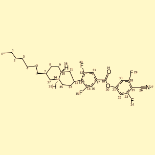 CCCCCCC[C@H]1CC[C@@H]2CC(c3c(F)cc(C(=O)Oc4cc(F)c(C#N)c(F)c4)cc3F)CC[C@H]2C1